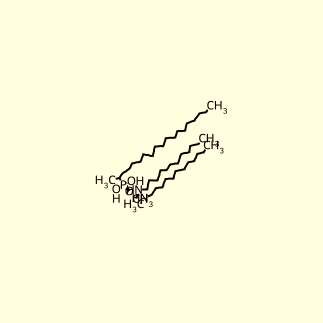 CCCCCCCCCCCCCCCCCC(C)P(=O)(O)O.CCCCCCCCCCCCNC.CCCCCCCCCCCCNC